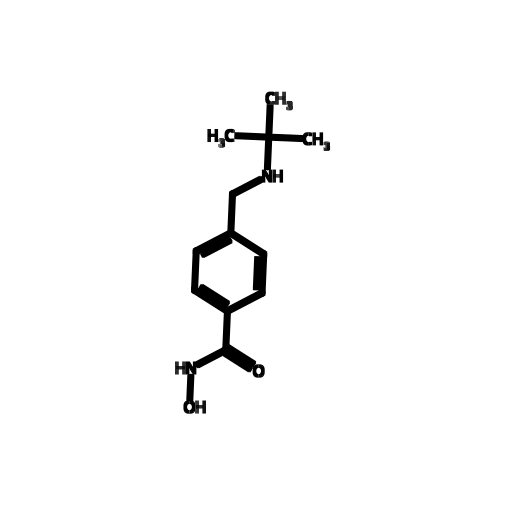 CC(C)(C)NCc1ccc(C(=O)NO)cc1